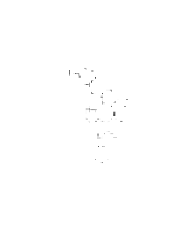 O=C(NC1CCCCC1)C(C1CCCCC1)n1ccnc1-c1c(Cc2cccc(Cl)c2)ccc(F)c1F